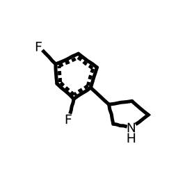 Fc1ccc(C2CCNC2)c(F)c1